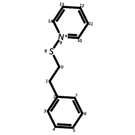 [CH](Cc1ccccc1)S[n+]1ccccc1